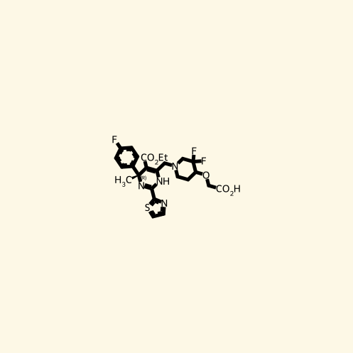 CCOC(=O)C1=C(CN2CCC(OCC(=O)O)C(F)(F)C2)NC(c2nccs2)=N[C@]1(C)c1ccc(F)cc1